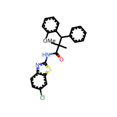 COc1ccccc1C(c1ccccc1)C(C)(C)C(=O)Nc1nc2ccc(Cl)cc2s1